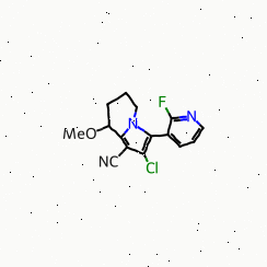 COC1CCCn2c(-c3cccnc3F)c(Cl)c(C#N)c21